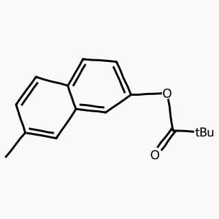 Cc1ccc2ccc(OC(=O)C(C)(C)C)cc2c1